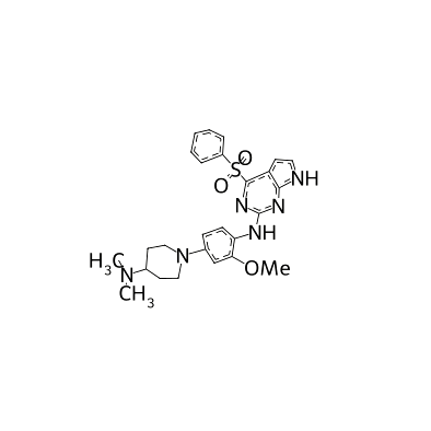 COc1cc(N2CCC(N(C)C)CC2)ccc1Nc1nc(S(=O)(=O)c2ccccc2)c2cc[nH]c2n1